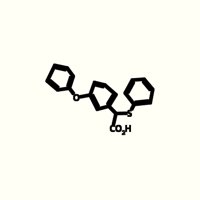 O=C(O)C(Sc1ccccc1)c1cccc(Oc2ccccc2)c1